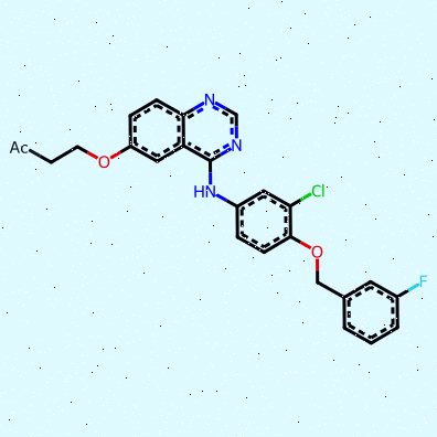 CC(=O)CCOc1ccc2ncnc(Nc3ccc(OCc4cccc(F)c4)c(Cl)c3)c2c1